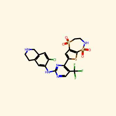 O=S1(=O)CCNS(=O)(=O)c2sc(-c3nc(Nc4cc5c(cc4Cl)CNCC5)ncc3C(F)(F)F)cc21